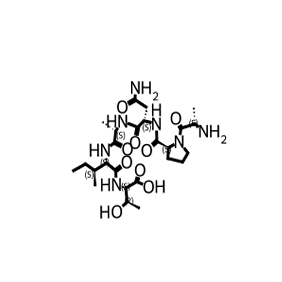 CC[C@H](C)[C@H](NC(=O)[C@H](C)NC(=O)[C@H](CC(N)=O)NC(=O)[C@@H]1CCCN1C(=O)[C@H](C)N)C(=O)N[C@H](C(=O)O)[C@@H](C)O